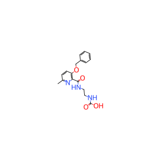 Cc1ccc(OCc2ccccc2)c(C(=O)NCCNC(=O)O)n1